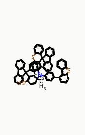 Cc1ccccc1C1(C2=C(S)C=CC(C)(N(c3ccc(-c4cccc5sc6ccccc6c45)cc3)c3ccc4c(c3)C3(c5ccccc5S4)c4ccccc4-c4ccccc43)C2)c2ccccc2-c2ccccc21